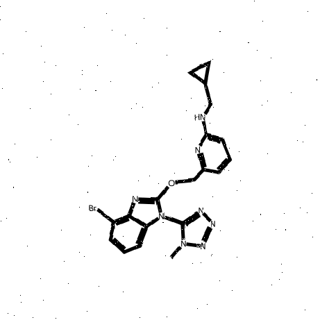 Cn1nnnc1-n1c(OCc2cccc(NCC3CC3)n2)nc2c(Br)cccc21